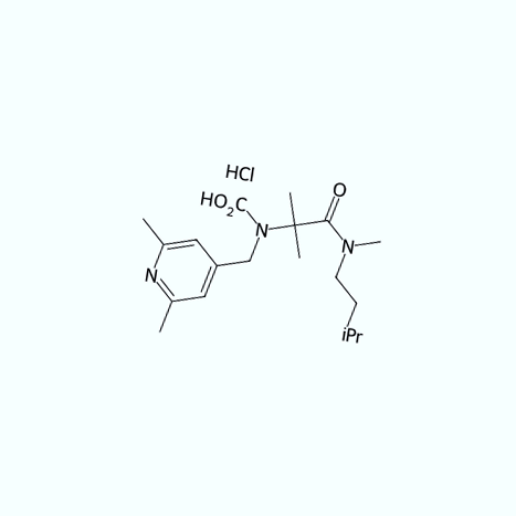 Cc1cc(CN(C(=O)O)C(C)(C)C(=O)N(C)CCC(C)C)cc(C)n1.Cl